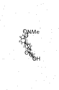 CNC(=O)OC1CCc2ccc(N3CCN(CC(=O)N4CC(O)C4)CC3)cc21